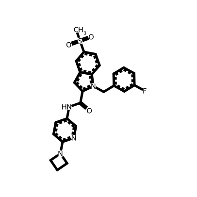 CS(=O)(=O)c1ccc2c(c1)cc(C(=O)Nc1ccc(N3CCC3)nc1)n2Cc1cccc(F)c1